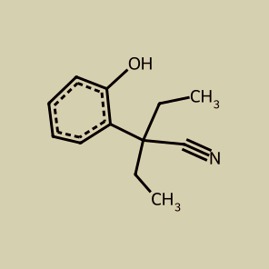 CCC(C#N)(CC)c1ccccc1O